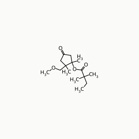 CCC(C)(C)C(=O)OC1(C)CC(=O)CC1(C)COC